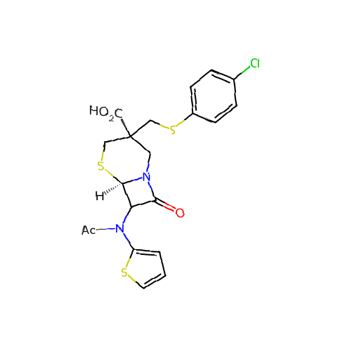 CC(=O)N(c1cccs1)C1C(=O)N2CC(CSc3ccc(Cl)cc3)(C(=O)O)CS[C@H]12